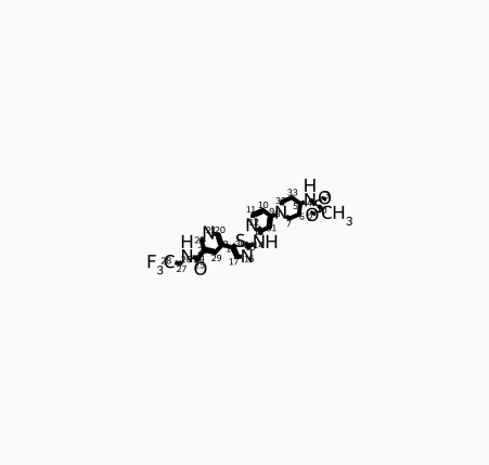 CS(=O)(=O)NC1CCN(c2ccnc(Nc3ncc(-c4cncc(C(=O)NCC(F)(F)F)c4)s3)c2)CC1